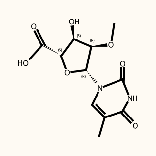 CO[C@@H]1[C@H](O)[C@@H](C(=O)O)O[C@H]1n1cc(C)c(=O)[nH]c1=O